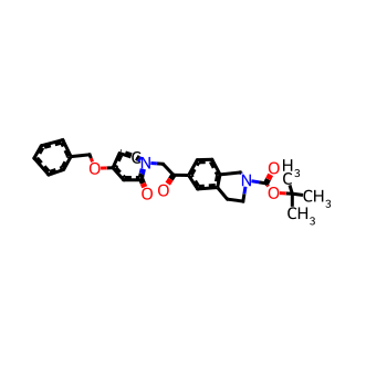 CC(C)(C)OC(=O)N1CCc2cc(C(=O)Cn3ccc(OCc4ccccc4)cc3=O)ccc2C1